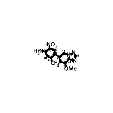 COc1cc(-c2cc([N+](=O)[O-])c(N)cc2C(F)(F)F)cn2ncnc12